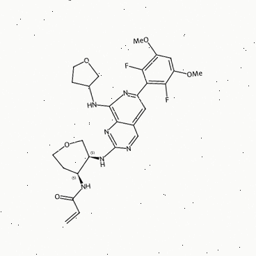 C=CC(=O)N[C@H]1CCOC[C@H]1Nc1ncc2cc(-c3c(F)c(OC)cc(OC)c3F)nc(NC3CCOC3)c2n1